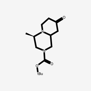 C[C@@H]1CN(C(=O)OC(C)(C)C)CC2CC(=O)CCN21